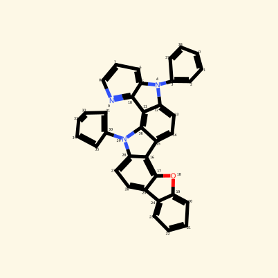 c1ccc(-n2c3cccnc3c3c2ccc2c4c5oc6ccccc6c5ccc4n(-c4ccccc4)c23)cc1